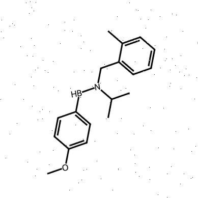 COc1ccc(BN(Cc2ccccc2C)C(C)C)cc1